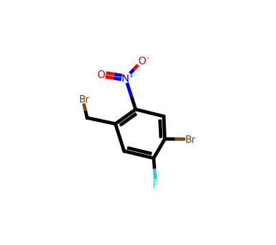 O=[N+]([O-])c1cc(Br)c(F)cc1CBr